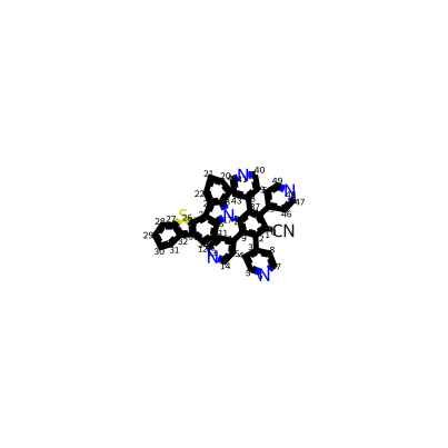 N#Cc1c(-c2ccncc2)c(-c2ccncc2)c(-n2c3ccccc3c3c4sc5ccccc5c4ccc32)c(-c2ccncc2)c1-c1ccncc1